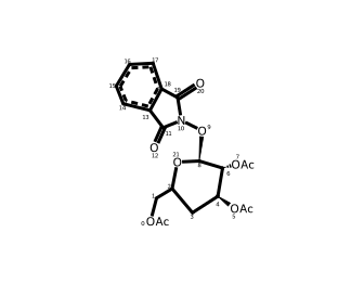 CC(=O)OCC1C[C@H](OC(C)=O)[C@@H](OC(C)=O)[C@H](ON2C(=O)c3ccccc3C2=O)O1